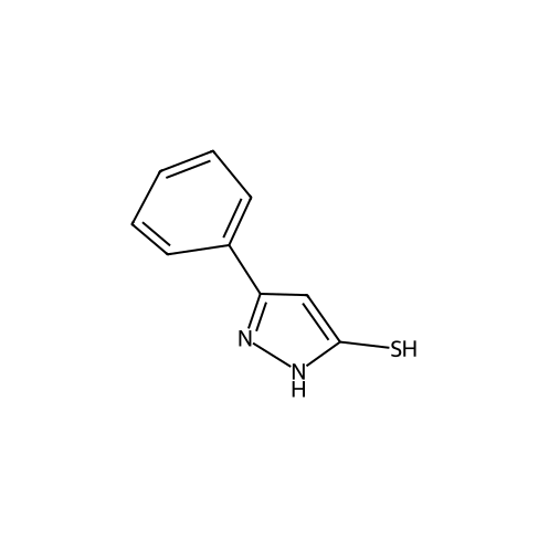 Sc1cc(-c2ccccc2)n[nH]1